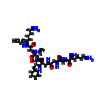 CC(C)C[C@H](NC(=O)[C@H](Cc1ccccc1)NC(=O)CNC(=O)CNC(=O)CNC(=O)[C@@H](N)CCCCN)C(=O)NCC(=O)N[C@@H](CCCCN)C(=O)O